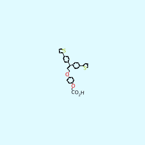 O=C(O)COc1ccc(OCC=C(c2ccc(-c3cccs3)cc2)c2ccc(-c3cccs3)cc2)cc1